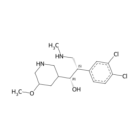 CNC[C@H](c1ccc(Cl)c(Cl)c1)[C@H](O)C1CNCC(OC)C1